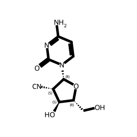 [C-]#[N+][C@H]1[C@H](O)[C@@H](CO)O[C@H]1n1ccc(N)nc1=O